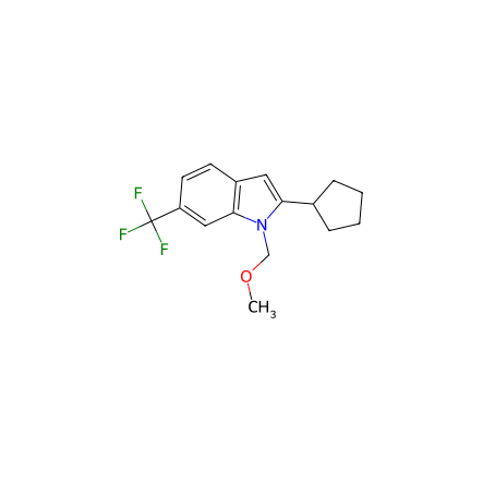 COCn1c(C2CCCC2)cc2ccc(C(F)(F)F)cc21